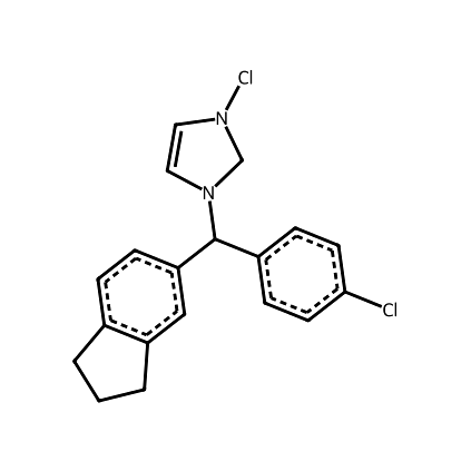 Clc1ccc(C(c2ccc3c(c2)CCC3)N2C=CN(Cl)C2)cc1